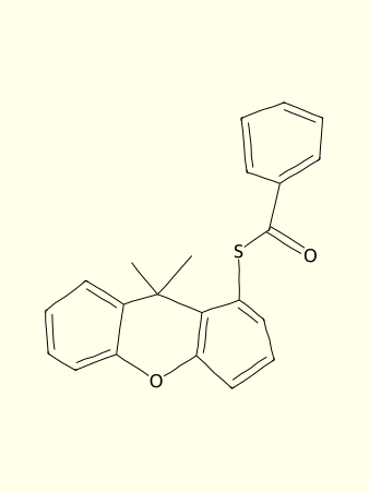 CC1(C)c2ccccc2Oc2cccc(SC(=O)c3ccccc3)c21